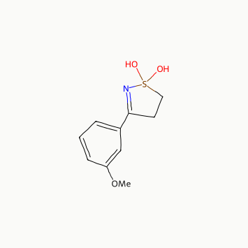 COc1cccc(C2=NS(O)(O)CC2)c1